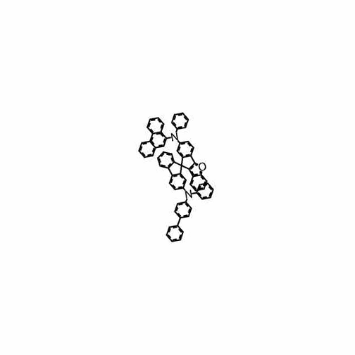 c1ccc(-c2ccc(N(c3ccccc3)c3ccc4c(c3)C3(c5ccccc5-4)c4cc(N(c5ccccc5)c5cc6ccccc6c6ccccc56)ccc4-c4oc5ccccc5c43)cc2)cc1